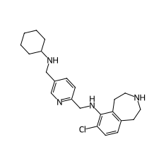 Clc1ccc2c(c1NCc1ccc(CNC3CCCCC3)cn1)CCNCC2